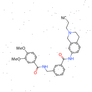 COc1ccc(C(=O)NCc2cccc(C(=O)Nc3ccc4c(c3)CN(CCC#N)CC4)c2)cc1OC